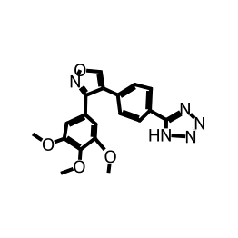 COc1cc(-c2nocc2-c2ccc(-c3nnn[nH]3)cc2)cc(OC)c1OC